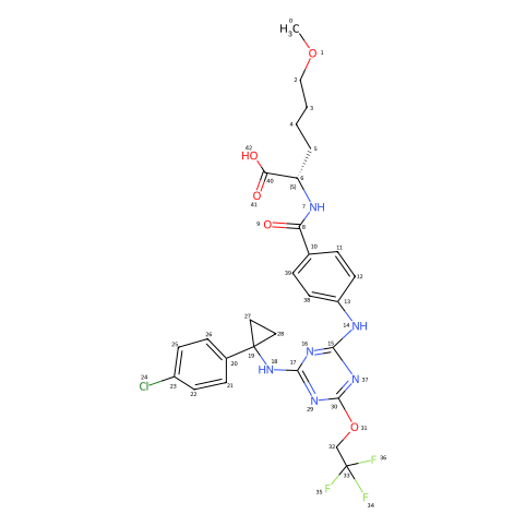 COCCCC[C@H](NC(=O)c1ccc(Nc2nc(NC3(c4ccc(Cl)cc4)CC3)nc(OCC(F)(F)F)n2)cc1)C(=O)O